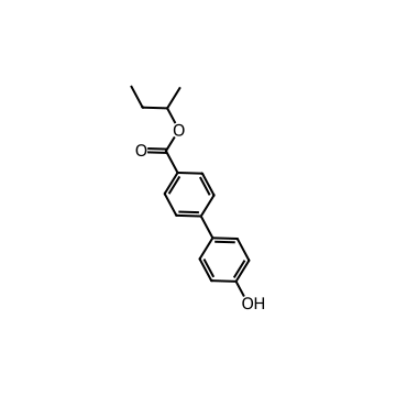 CCC(C)OC(=O)c1ccc(-c2ccc(O)cc2)cc1